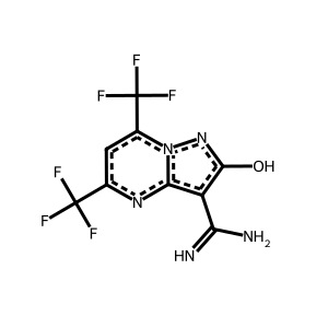 N=C(N)c1c(O)nn2c(C(F)(F)F)cc(C(F)(F)F)nc12